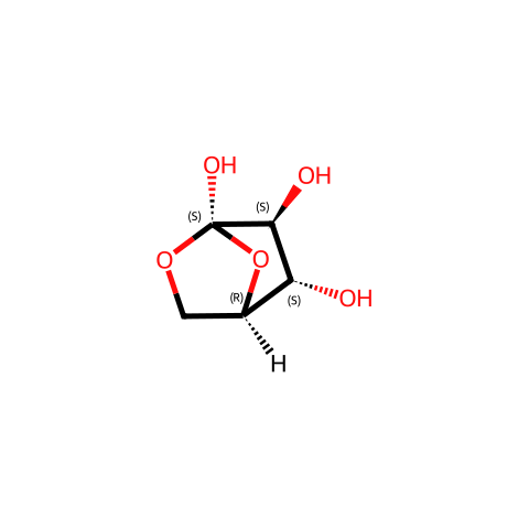 O[C@@H]1[C@H]2CO[C@](O)(O2)[C@H]1O